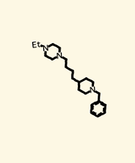 CCN1CCN(CCCCC2CCN(Cc3ccccc3)CC2)CC1